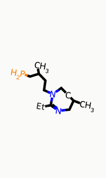 CCC1=NCC(C)CCN1CCC(C)CP